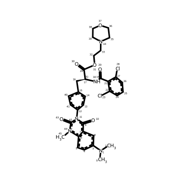 CN(C)c1ccc2c(c1)c(=O)n(-c1ccc(C[C@H](NC(=O)c3c(Cl)cccc3Cl)C(=O)OCCN3CCOCC3)cc1)c(=O)n2C